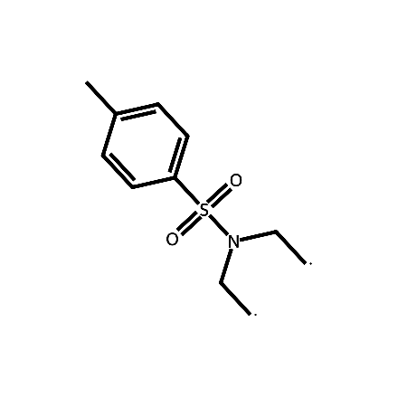 [CH2]CN(C[CH2])S(=O)(=O)c1ccc(C)cc1